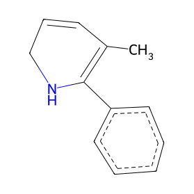 CC1=C(c2ccccc2)NCC=C1